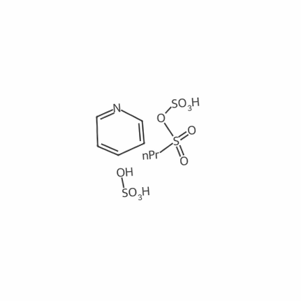 CCCS(=O)(=O)OS(=O)(=O)O.O=S(=O)(O)O.c1ccncc1